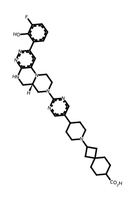 O=C(O)C1CCC2(CC1)CC(N1CCC(c3cnc(N4CCN5c6cc(-c7cccc(F)c7O)nnc6NC[C@H]5C4)nc3)CC1)C2